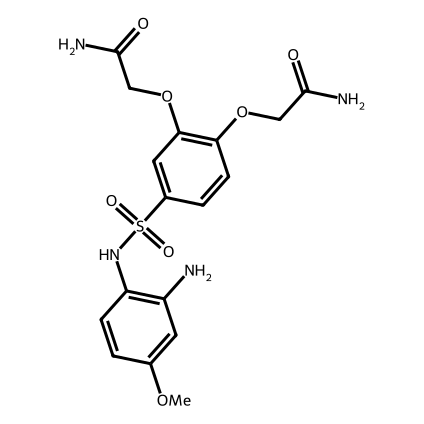 COc1ccc(NS(=O)(=O)c2ccc(OCC(N)=O)c(OCC(N)=O)c2)c(N)c1